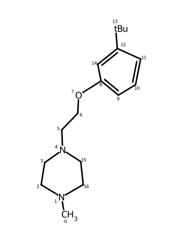 CN1CCN(CCOc2cccc(C(C)(C)C)c2)CC1